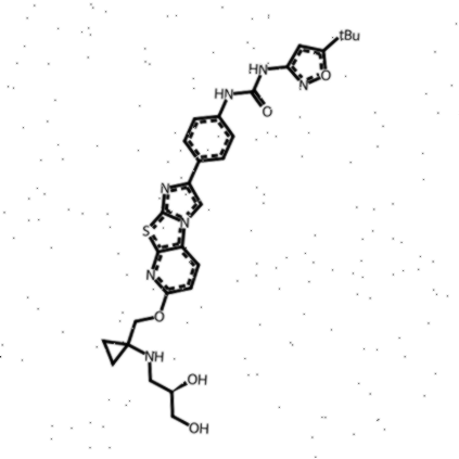 CC(C)(C)c1cc(NC(=O)Nc2ccc(-c3cn4c(n3)sc3nc(OCC5(NC[C@@H](O)CO)CC5)ccc34)cc2)no1